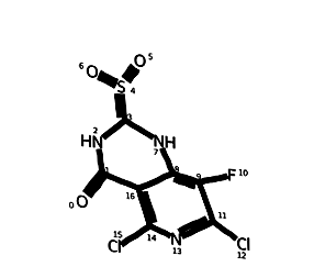 O=c1[nH]c(=S(=O)=O)[nH]c2c(F)c(Cl)nc(Cl)c12